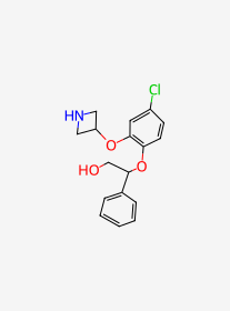 OCC(Oc1ccc(Cl)cc1OC1CNC1)c1ccccc1